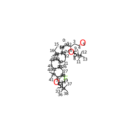 C[C@H](C(CC=O)O[Si](C)(C)C(C)(C)C)[C@H]1CC[C@@]2(C)C3=C(CC[C@]12C)[C@@]1(C)C[C@@H](F)C(O[Si](C)(C)C(C)(C)C)C(C)(C)C1CC3